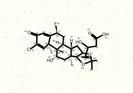 CC1(C)OC2C[C@H]3[C@@H]4C[C@H](F)C5=CC(=O)C(Cl)=C[C@]5(C)[C@@]4(F)[C@@H](O)C[C@]3(C)[C@]2(C(=O)C(O)CC(=O)O)O1